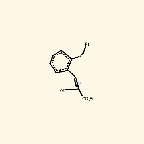 CCOC(=O)/C(=C/c1ccccc1OCC)C(C)=O